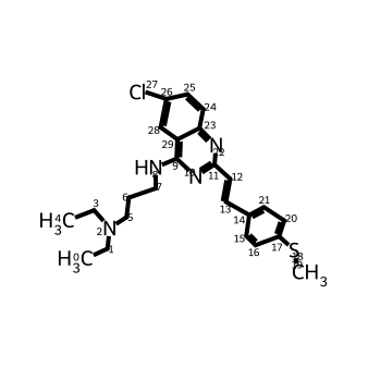 CCN(CC)CCCNc1nc(C=Cc2ccc(SC)cc2)nc2ccc(Cl)cc12